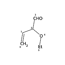 C=CC([C]=O)OCC